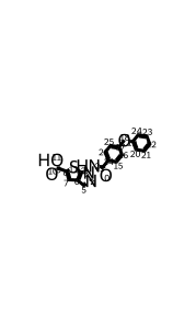 O=C(Nn1ncc2cc(C(=O)O)sc21)c1ccc(Oc2ccccc2)cc1